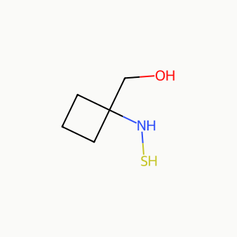 OCC1(NS)CCC1